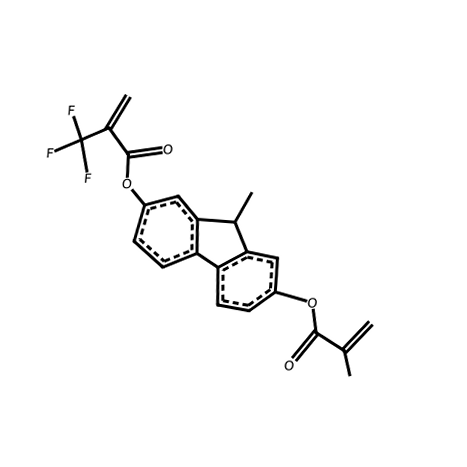 C=C(C)C(=O)Oc1ccc2c(c1)C(C)c1cc(OC(=O)C(=C)C(F)(F)F)ccc1-2